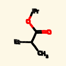 CCC(C)C(=O)OC(C)C